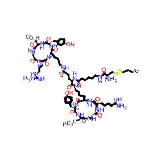 CC(=O)CCCSSCC(N)C(=O)NCCCCCC(=O)NC(CCC(=O)NCCCCC1NC(=O)[C@@H](CCCNC(=N)N)NC(=O)CNC(=O)[C@@H](CC(=O)O)NC(=O)[C@H](Cc2ccc(O)cc2)NC1=O)C(=O)NCCCCC1NC(=O)[C@@H](CCCCC(=N)N)NC(=O)CNC(=O)[C@@H](CC(=O)O)NC(=O)[C@H](Cc2ccc(O)cc2)NC1=O